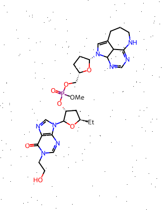 CC[C@@H]1C[C@@H](OP(=O)(OC)OC[C@@H]2CC[C@H](N3C=C4CCCNC5=NC=NC3C45)O2)C(n2cnc3c(=O)n(CCO)cnc32)O1